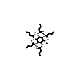 CCCC(=O)OC1[C@H](OC(=O)CCC)[C@H](OC(=O)CCC)C(OC)[C@H](OC(=O)CCC)[C@H]1OC(=O)CCC